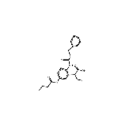 CCCC(=O)Oc1ccc(NC(=O)OCc2ccccc2)c(C(CC)C(=O)O)c1